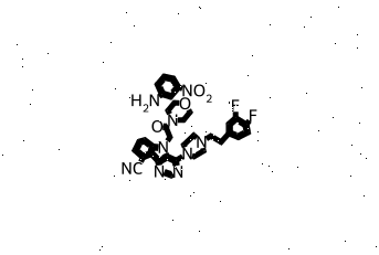 N#Cc1cccc2c1c1ncnc(N3CCN(CCc4ccc(F)c(F)c4)CC3)c1n2CC(=O)N1CCOCC1.Nc1cccc([N+](=O)[O-])c1